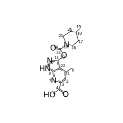 Cc1cc(C(=O)O)nc2[nH]nc(OC(=O)N3CCC(C)CC3)c12